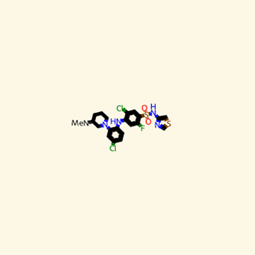 CNC1CCCN(c2cc(Cl)ccc2Nc2cc(F)c(S(=O)(=O)Nc3cscn3)cc2Cl)C1